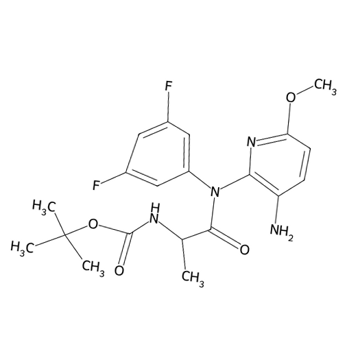 COc1ccc(N)c(N(C(=O)C(C)NC(=O)OC(C)(C)C)c2cc(F)cc(F)c2)n1